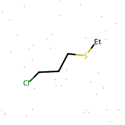 [CH2]CSCCCCl